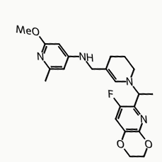 COc1cc(NCC2=CN(C(C)c3nc4c(cc3F)OCCO4)CCC2)cc(C)n1